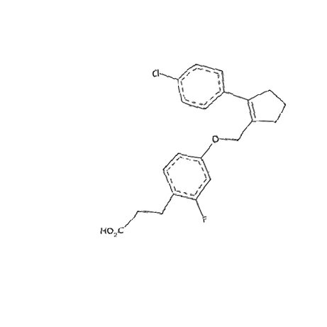 O=C(O)CCc1ccc(OCC2=C(c3ccc(Cl)cc3)CCC2)cc1F